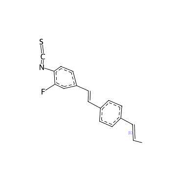 C/C=C/c1ccc(C=Cc2ccc(N=C=S)c(F)c2)cc1